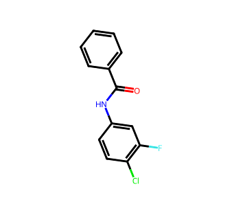 O=C(Nc1ccc(Cl)c(F)c1)c1ccccc1